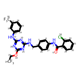 O=C(Nc1ccc(CNc2nc(Nc3cccc(C(F)(F)F)c3)nc(OCC(F)(F)F)n2)cc1)c1ccccc1Cl